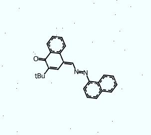 CC(C)(C)C1=CC(=CN=Nc2cccc3ccccc23)c2ccccc2C1=O